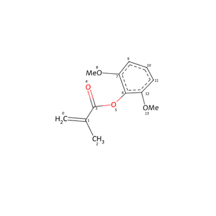 C=C(C)C(=O)Oc1c(OC)cccc1OC